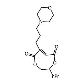 CCCC1COC(=O)/C(CCCN2CCOCC2)=C/C(=O)O1